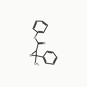 CC1(c2ccccc2)OC1C(=O)Oc1ccccc1